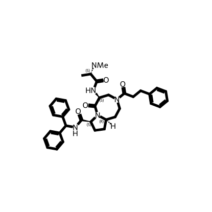 CN[C@@H](C)C(=O)N[C@H]1CN(C(=O)CCc2ccccc2)CC[C@H]2CC[C@@H](C(=O)NC(c3ccccc3)c3ccccc3)N2C1=O